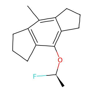 Cc1c2c(c(O[C@@H](C)F)c3c1CCC3)CCC2